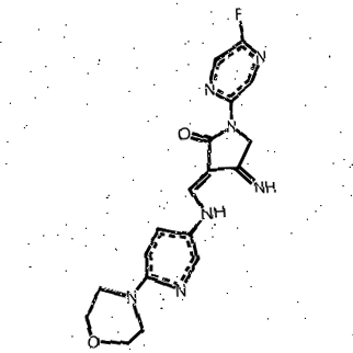 N=C1CN(c2cnc(F)cn2)C(=O)/C1=C/Nc1ccc(N2CCOCC2)nc1